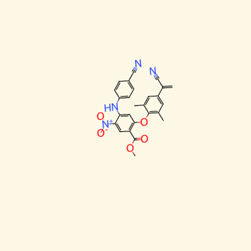 C=C(C#N)c1cc(C)c(Oc2cc(Nc3ccc(C#N)cc3)c([N+](=O)[O-])cc2C(=O)OC)c(C)c1